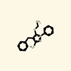 CCOc1c(Cc2ccccc2)c(C)nn1-c1ccccc1